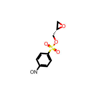 O=Nc1ccc(S(=O)(=O)OC[C@@H]2CO2)cc1